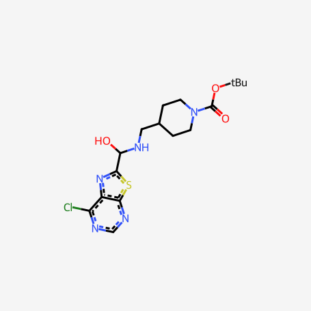 CC(C)(C)OC(=O)N1CCC(CNC(O)c2nc3c(Cl)ncnc3s2)CC1